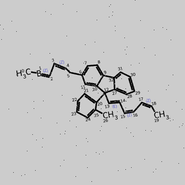 C/B=C\C=C/Cc1ccc2c(c1)C(/C=C/C=C\C=C/C)(c1ccccc1C)c1ccccc1-2